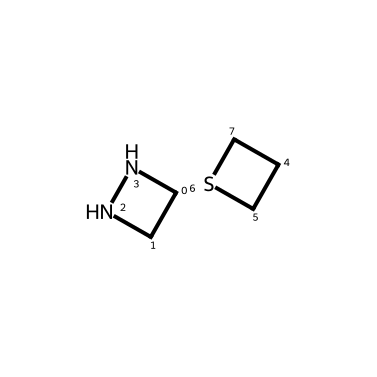 C1CNN1.C1CSC1